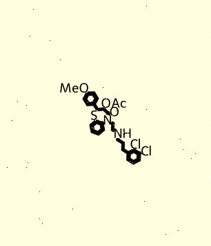 COc1ccc(C2Sc3ccccc3N(CCNCCCc3cccc(Cl)c3Cl)C(=O)C2OC(C)=O)cc1